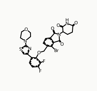 O=C1CCC(N2C(=O)c3ccc(COc4c(-c5csc(N6CCOCC6)n5)ccc(F)c4F)c(Br)c3C2=O)C(=O)N1